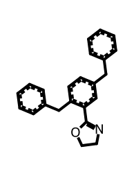 c1ccc(Cc2ccc(Cc3ccccc3)c(C3=NCCO3)c2)cc1